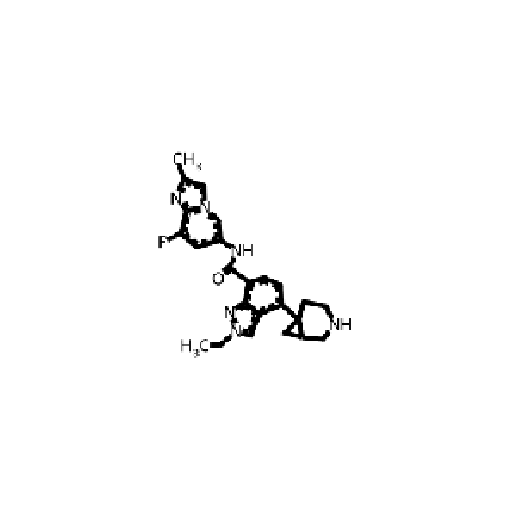 CCn1cc2c(C34CCNCC3C4)ccc(C(=O)Nc3cc(F)c4nc(C)cn4c3)c2n1